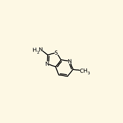 Cc1ccc2nc(N)sc2n1